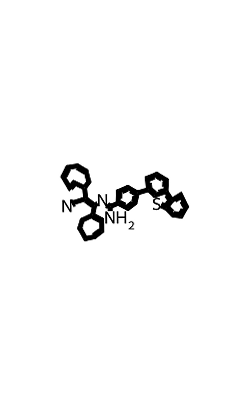 N#C/C(=C(/N=C(\N)c1ccc(-c2cccc3c2sc2ccccc23)cc1)C1=CC=CCCC1)C1/C=C/C=C\C=C/C1